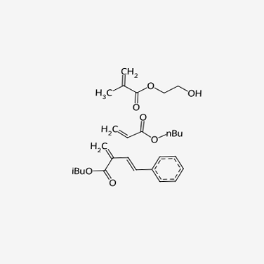 C=C(C)C(=O)OCCO.C=C(C=Cc1ccccc1)C(=O)OCC(C)C.C=CC(=O)OCCCC